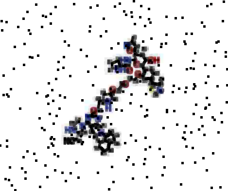 Cc1cc([C@@H](C(=O)NC(=O)[C@@H]2CCCN2)[C@H](C)[C@@H](O)Cc2ccc(-c3scnc3C)cc2OCCOCCO[C@H]2CN[C@@H](CCOc3nc4c(c(N5CCN[C@@H](CC#N)C5)n3)CCN(c3cccc5ccccc35)C4)C2)on1